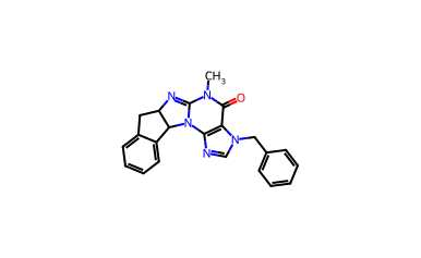 CN1C(=O)c2c(ncn2Cc2ccccc2)N2C1=NC1Cc3ccccc3C12